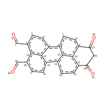 O=Cc1ccc2c3ccc4c5c(ccc(c6ccc(C=O)c1c26)c53)C(=O)CC4=O